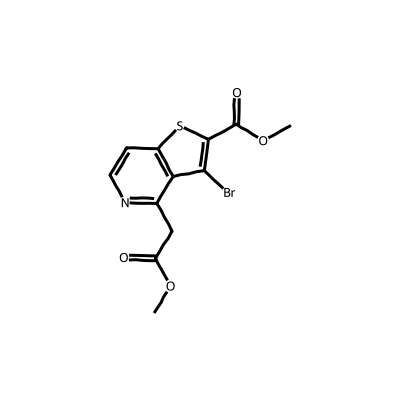 COC(=O)Cc1nccc2sc(C(=O)OC)c(Br)c12